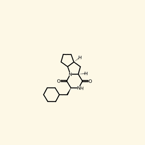 O=C1N[C@@H](CC2CCCCC2)C(=O)N2C3CCC[C@H]3C[C@@H]12